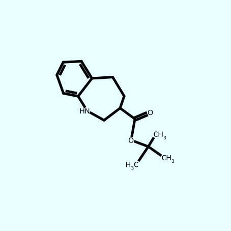 CC(C)(C)OC(=O)C1CCc2ccccc2NC1